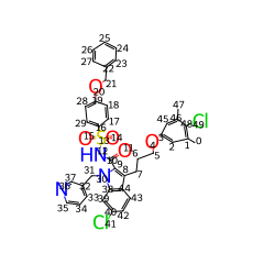 Cc1cc(OCCCc2c(C(=O)NS(=O)(=O)c3ccc(OCc4ccccc4)cc3)n(Cc3cccnc3)c3cc(Cl)ccc23)cc(C)c1Cl